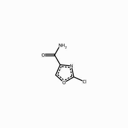 NC(=O)c1coc(Cl)n1